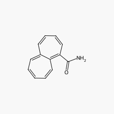 NC(=O)C1=C2C=CC=CC=C2C=CC=C1